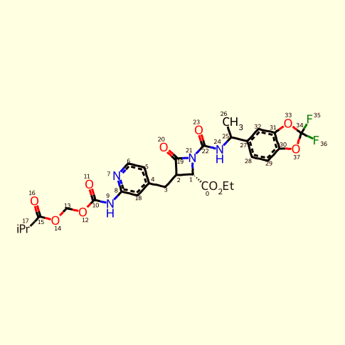 CCOC(=O)[C@@H]1C(Cc2ccnc(NC(=O)OCOC(=O)C(C)C)c2)C(=O)N1C(=O)NC(C)c1ccc2c(c1)OC(F)(F)O2